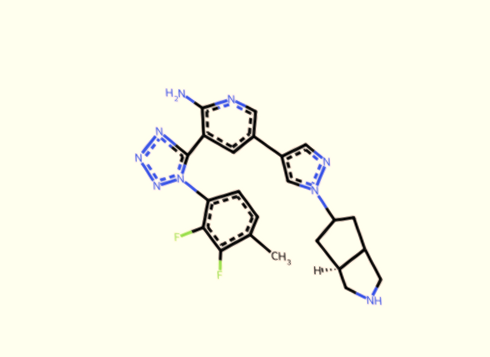 Cc1ccc(-n2nnnc2-c2cc(-c3cnn(C4CC5CNC[C@H]5C4)c3)cnc2N)c(F)c1F